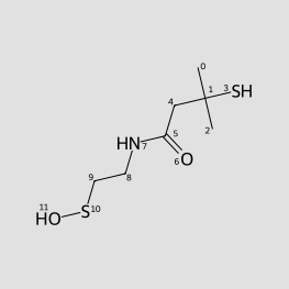 CC(C)(S)CC(=O)NCCSO